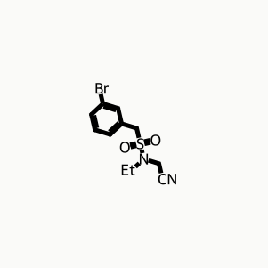 CCN(CC#N)S(=O)(=O)Cc1cccc(Br)c1